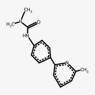 Cc1cccc(-c2ccc(NC(=O)N(C)C)cc2)n1